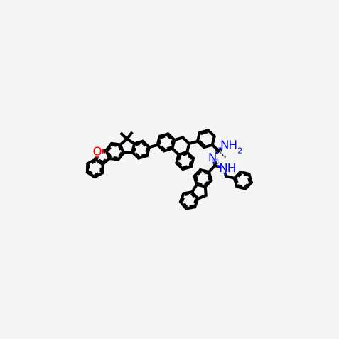 CC1(C)c2cc(-c3ccc4c(c3)-c3ccccc3C(C3=CC([C@@](C)(N)/N=C(\NCc5ccccc5)c5ccc6c(c5)Cc5ccccc5-6)CC=C3)C4)ccc2-c2cc3c(cc21)oc1ccccc13